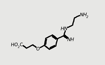 N=C(NCCN)c1ccc(OCCC(=O)O)cc1